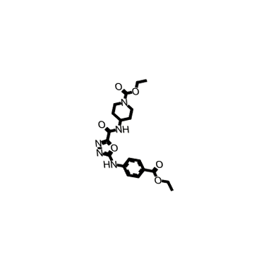 CCOC(=O)c1ccc(Nc2nnc(C(=O)NC3CCN(C(=O)OCC)CC3)o2)cc1